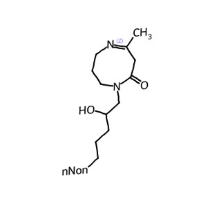 CCCCCCCCCCCCC(O)CN1CCC/N=C(/C)CC1=O